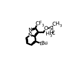 C[SiH](C)OCc1c(C(F)(F)F)nn2cccc(C(C)(C)C)c12